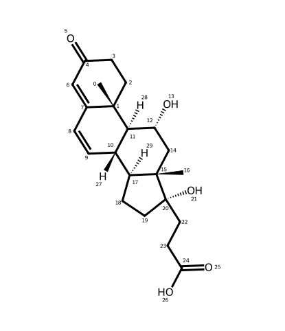 C[C@]12CCC(=O)C=C1C=C[C@@H]1[C@@H]2[C@H](O)C[C@@]2(C)[C@H]1CC[C@]2(O)CCC(=O)O